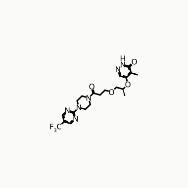 Cc1c(O[C@@H](C)COCCC(=O)N2CCN(c3ncc(C(F)(F)F)cn3)CC2)cn[nH]c1=O